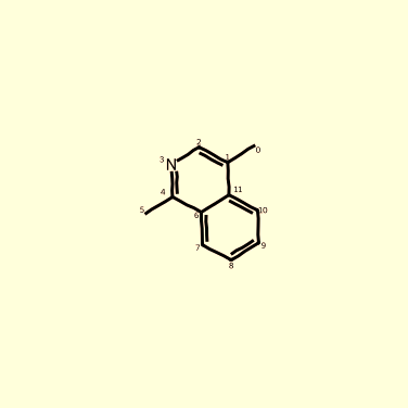 Cc1cnc(C)c2ccccc12